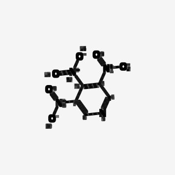 O=[N+]([O-])c1[c]ncc([N+](=O)[O-])c1[N+](=O)[O-]